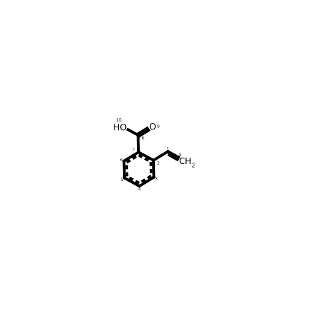 C=[C]c1ccccc1C(=O)O